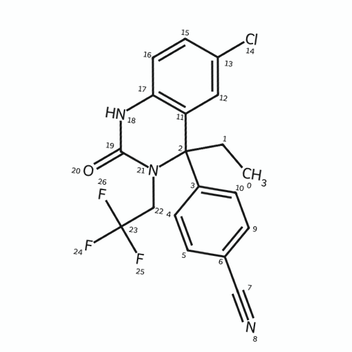 CCC1(c2ccc(C#N)cc2)c2cc(Cl)ccc2NC(=O)N1CC(F)(F)F